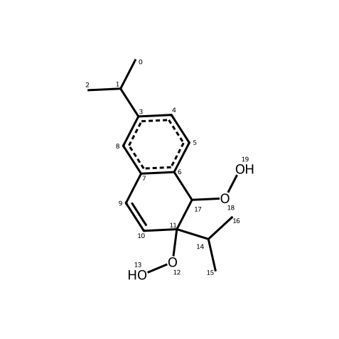 CC(C)c1ccc2c(c1)C=CC(OO)(C(C)C)C2OO